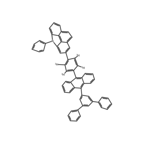 [2H]c1c([2H])c(-c2c3ccccc3c(-c3cc(-c4ccccc4)cc(-c4ccccc4)c3)c3ccccc23)c([2H])c([2H])c1-c1cc2ccc3cccc4c3c2c(c1)n4-c1ccccc1